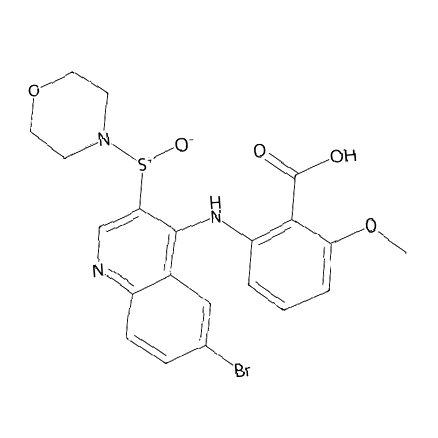 COc1cccc(Nc2c([S+]([O-])N3CCOCC3)cnc3ccc(Br)cc23)c1C(=O)O